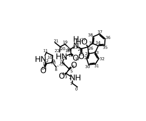 CCNC(=O)C(=O)[C@H](C[C@@H]1CCNC1=O)NC(=O)[C@@H](CC(C)C)NC(=O)C1(O)c2ccccc2-c2ccccc21